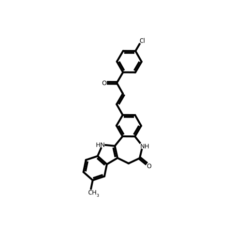 Cc1ccc2[nH]c3c(c2c1)CC(=O)Nc1ccc(/C=C/C(=O)c2ccc(Cl)cc2)cc1-3